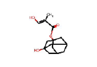 CC(=CO)C(=O)OC12CC3CC(CC(O)(C3)C1)C2